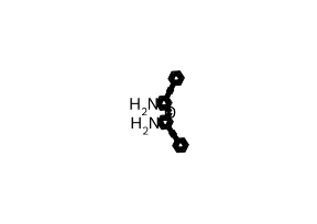 Nc1cc(C#Cc2ccccc2)cc(Oc2cc(N)cc(C#Cc3ccccc3)c2)c1